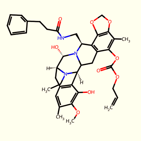 C=CCOC(=O)Oc1c(C)c2c(c3c1CC1[C@H]4c5c(cc(C)c(OC)c5O)C[C@@H]([C@H](O)N1[C@H]3CNC(=O)CCc1ccccc1)N4CC)OCO2